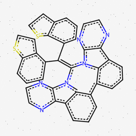 c1cc(C(c2cccc3sccc23)=c2n3c4nccnc4c4cccc(c5cccc6c7nccnc7n2c56)c43)c2sccc2c1